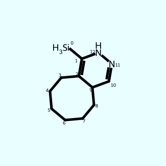 [SiH3]C1=C2CCCCCCC2C=NN1